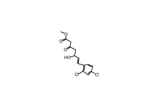 COC(=O)CC(=O)CC(O)/C=C/c1ccc(Cl)cc1Cl